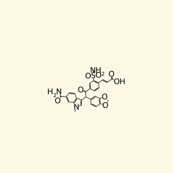 Cn1cc(C(C(=O)c2ccc(C=CC(=O)O)c(S(N)(=O)=O)c2)c2ccc3c(c2)OCO3)c2ccc(C(N)=O)cc21